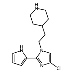 Clc1cn(CCC2CCNCC2)c(-c2ccc[nH]2)n1